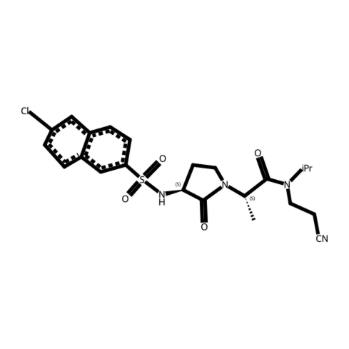 CC(C)N(CCC#N)C(=O)[C@H](C)N1CC[C@H](NS(=O)(=O)c2ccc3cc(Cl)ccc3c2)C1=O